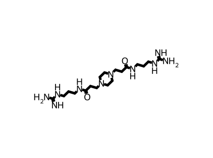 N=C(N)NCCCNC(=O)CCN1CCN(CCC(=O)NCCCNC(=N)N)CC1